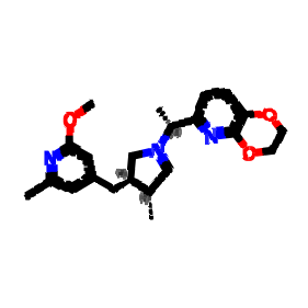 COc1cc(C[C@H]2CN([C@H](C)c3ccc4c(n3)OCCO4)C[C@@H]2C)cc(C)n1